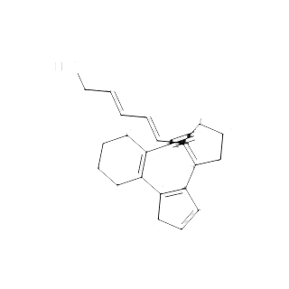 [C]#CC1=C(C2=C(C3=C(C=CC=CCC)CCC3)C=CC2)CCCC1